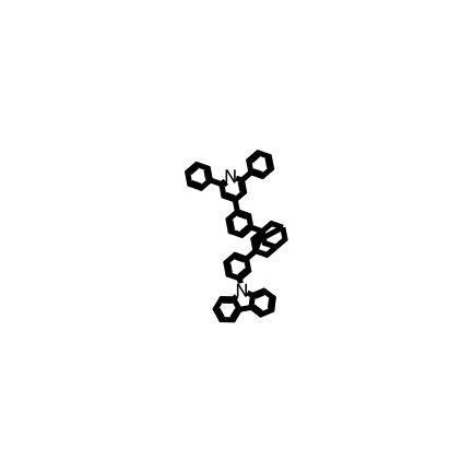 c1ccc(-c2cc(-c3cccc(C45CC6CC(C4)CC(c4cccc(-n7c8ccccc8c8ccccc87)c4)(C6)C5)c3)cc(-c3ccccc3)n2)cc1